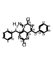 NN1c2c(Cc3ccccc3)nc(Cl)nc2C(Cc2ccccc2)=NC1Cl